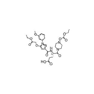 CCOC(=O)COc1cc(C(=O)N[C@@H](CCC(=O)O)C(=O)N2CCN(OC(=O)OCC)CC2)nn1-c1cccc(OC)c1